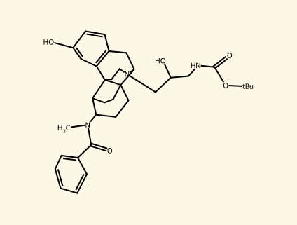 CN(C(=O)c1ccccc1)C1CCC23CCC1C21CCN(CC(O)CNC(=O)OC(C)(C)C)C3Cc2ccc(O)cc21